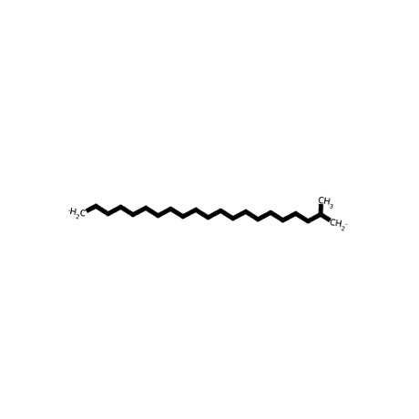 [CH2]CCCCCCCCCCCCCCCCCCC([CH2])C